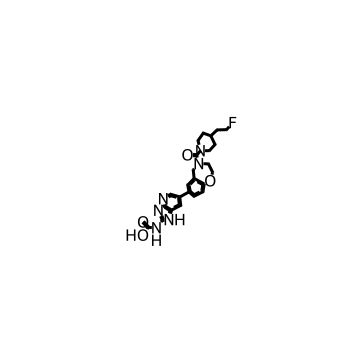 O=C(O)Nc1nc2ncc(-c3ccc4c(c3)CN(C(=O)N3CCC(CCF)CC3)CCO4)cc2[nH]1